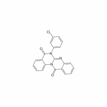 O=c1c2ccccc2n2c(=O)c3ccccc3nc2n1-c1cccc(Cl)c1